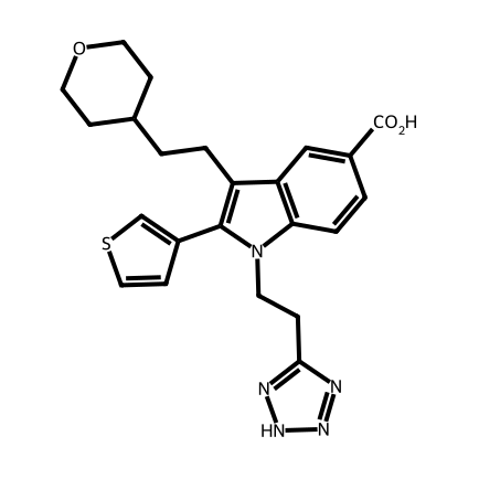 O=C(O)c1ccc2c(c1)c(CCC1CCOCC1)c(-c1ccsc1)n2CCc1nn[nH]n1